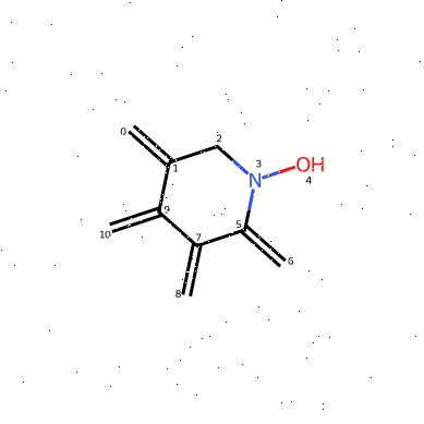 C=C1CN(O)C(=C)C(=C)C1=C